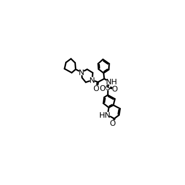 O=C(C(NS(=O)(=O)c1ccc2[nH]c(=O)ccc2c1)c1ccccc1)N1CCN(C2CCCCC2)CC1